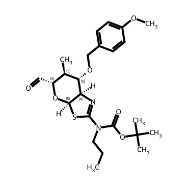 CCCN(C(=O)OC(C)(C)C)C1=N[C@@H]2[C@@H](OCc3ccc(OC)cc3)[C@H](C)[C@@H](C=O)O[C@@H]2S1